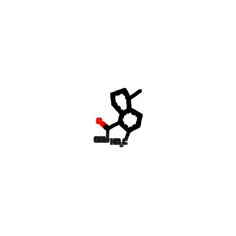 COC(=O)c1c(C(=O)O)ccc2c(C)cccc12